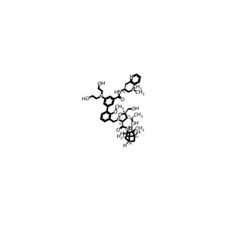 COc1c(CN2O[C@@H](CO)[C@H]([C@H](C)O)[C@H]2C(=O)N[C@H]2C[C@H]3C[C@@H]([C@@H]2C)C3(C)C)cccc1-c1cc(C(=O)N[C@@H](Cc2ccccn2)CN(C)C)cc(N(CCO)CCO)c1